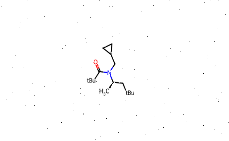 C[C@H](CC(C)(C)C)N(CC1CC1)C(=O)C(C)(C)C